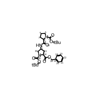 CC(C)(C)OC(=O)N1CCCC1C(=O)NC1CC(C(=O)OCc2ccccc2)N(C(=O)OC(C)(C)C)C1